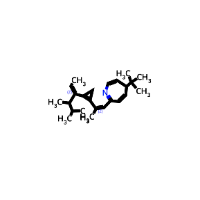 C/C=C(C1=C(/C(C)=C\C2=NC=CC(C(C)(C)C)C=C2)C1)/C(C)C(C)C